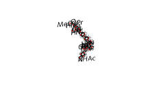 COC(=O)N[C@H](C(=O)N1CCCC1c1ncc(-c2ccc(-c3ccc(-c4cnc([C@@H]5CCCN5C(=O)[C@H](Cc5ccc(CNC(C)=O)cc5)OC(N)=O)[nH]4)cc3)cc2)[nH]1)C(C)C